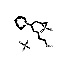 CCCCCCCCCCCCCCC(CC1CP1(=O)CC)[n+]1ccccc1.F[B-](F)(F)F